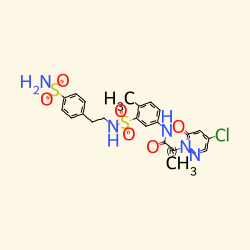 Cc1ccc(NC(=O)[C@@H](C)n2ncc(Cl)cc2=O)cc1S(=O)(=O)NCCc1ccc(S(N)(=O)=O)cc1